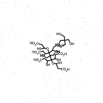 O=C(O)CC(S)OC(C(S)CC(=O)O)(C(S)CC(=O)O)C(CO)(CO)C(OC(S)CC(=O)O)(C(S)CC(=O)O)C(S)CC(=O)O.OCC(CO)(CO)CO